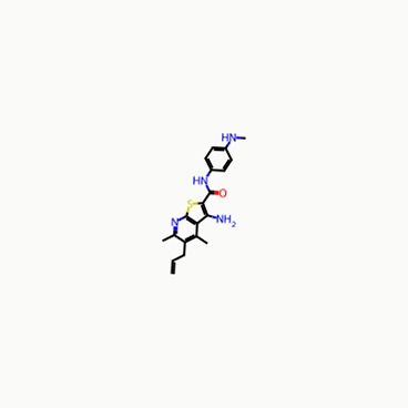 C=CCc1c(C)nc2sc(C(=O)Nc3ccc(NC)cc3)c(N)c2c1C